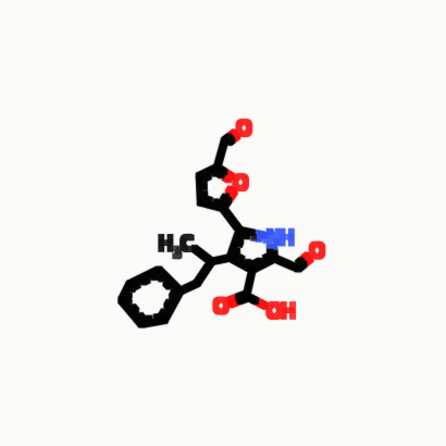 CC(Cc1ccccc1)c1c(-c2ccc(C=O)o2)[nH]c(C=O)c1C(=O)O